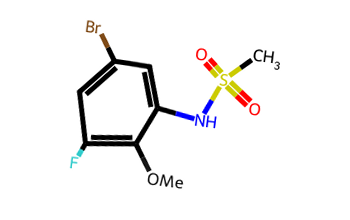 COc1c(F)cc(Br)cc1NS(C)(=O)=O